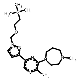 CN1CCCN(c2nc(-c3ccn(COCC[Si](C)(C)C)n3)cnc2N)CC1